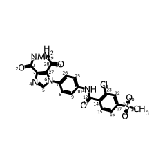 CNC(=O)c1ncn(-c2ccc(NC(=O)c3ccc(S(C)(=O)=O)cc3Cl)cc2)c1C(N)=O